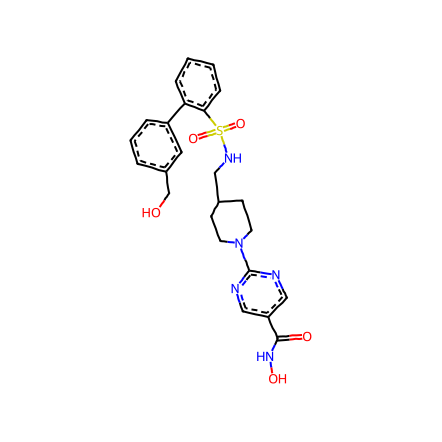 O=C(NO)c1cnc(N2CCC(CNS(=O)(=O)c3ccccc3-c3cccc(CO)c3)CC2)nc1